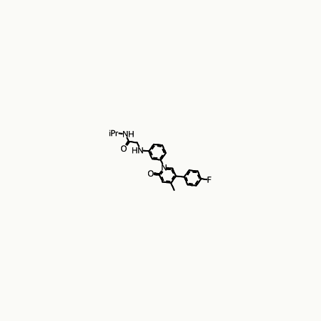 Cc1cc(=O)n(-c2cccc(NCC(=O)NC(C)C)c2)cc1-c1ccc(F)cc1